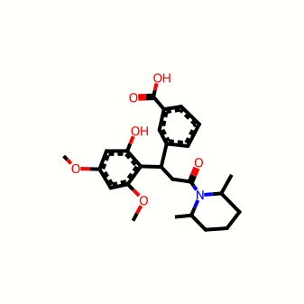 COc1cc(O)c(C(CC(=O)N2C(C)CCCC2C)c2cccc(C(=O)O)c2)c(OC)c1